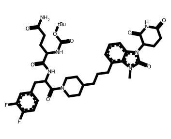 Cn1c(=O)n(C2CCC(=O)NC2=O)c2cccc(CCCC3CCN(C(=O)C(Cc4ccc(F)c(F)c4)NC(=O)C(CCC(N)=O)NC(=O)OC(C)(C)C)CC3)c21